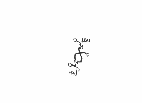 CC(C)(C)OC(=O)N1CCC(C=N[S+]([O-])C(C)(C)C)(CF)CC1